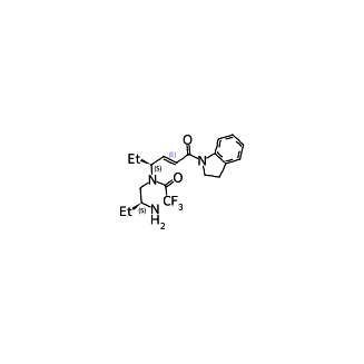 CC[C@H](N)CN(C(=O)C(F)(F)F)[C@H](/C=C/C(=O)N1CCc2ccccc21)CC